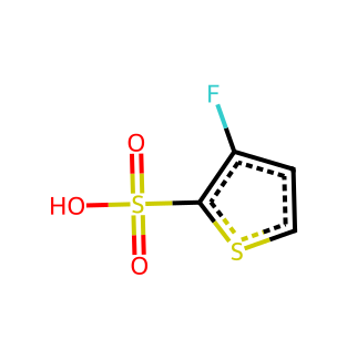 O=S(=O)(O)c1sccc1F